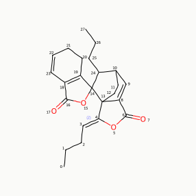 CCC/C=C1\OC(=O)C2=CC3CCC21C1(OC(=O)C2=C1CCC=C2)C3CCC